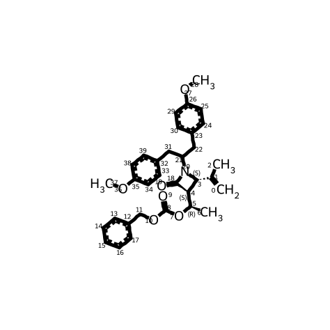 C=C(C)[C@@H]1[C@@H]([C@@H](C)OC(=O)OCc2ccccc2)C(=O)N1C(Cc1ccc(OC)cc1)Cc1ccc(OC)cc1